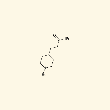 CCN1CCC(CCC(=O)C(C)C)CC1